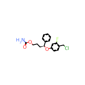 NC(=O)OCCC[C@H](Oc1ccc(CCl)c(F)c1)c1ccccc1